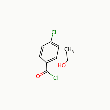 CCO.O=C(Cl)c1ccc(Cl)cc1